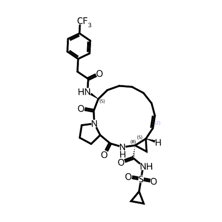 O=C(Cc1ccc(C(F)(F)F)cc1)N[C@H]1CCCCC/C=C\[C@@H]2C[C@@]2(C(=O)NS(=O)(=O)C2CC2)NC(=O)C2CCCN2C1=O